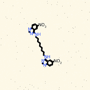 O=[N+]([O-])c1ccc2ncnc(NCCCCCCCCCNc3ncnc4ccc([N+](=O)[O-])cc34)c2c1